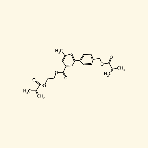 C=C(C)C(=O)OCCOC(=O)c1cc(C)cc(-c2ccc(COC(=O)C(=C)C)cc2)c1